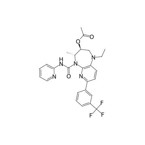 CCN1C[C@H](OC(C)=O)[C@@H](C)N(C(=O)Nc2ccccn2)c2nc(-c3cccc(C(F)(F)F)c3)ccc21